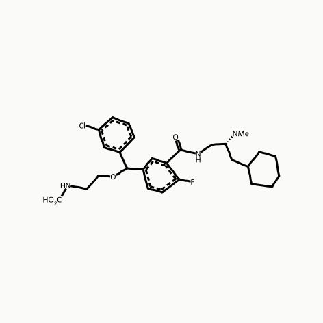 CN[C@@H](CNC(=O)c1cc(C(OCCNC(=O)O)c2cccc(Cl)c2)ccc1F)CC1CCCCC1